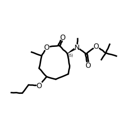 CCCOC1CCC[C@H](N(C)C(=O)OC(C)(C)C)C(=O)OC(C)C1